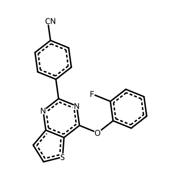 N#Cc1ccc(-c2nc(Oc3ccccc3F)c3sccc3n2)cc1